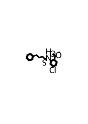 COC(=O)c1ccc(Cl)cc1NC(=S)CCCc1ccccc1